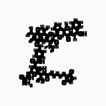 CC[C@H](C)[C@@H]([C@@H](CC(=O)N1CCC[C@H]1[C@H](OC)[C@@H](C)C(=O)N[C@H](C)C(O)c1ccccc1)OC)N(C)C(=O)[C@@H](NC(=O)[C@H](C(C)C)N(C)C(=O)OCc1ccc(NC(=O)C(CCCNC(N)=O)NC(=O)[C@@H](NC(=O)CCCCCN2C(=O)C=CC2=O)C(C)C)cc1)C(C)C